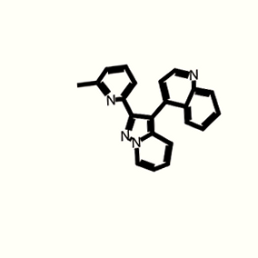 Cc1cccc(-c2nn3ccccc3c2-c2ccnc3ccccc23)n1